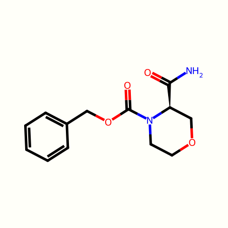 NC(=O)[C@H]1COCCN1C(=O)OCc1ccccc1